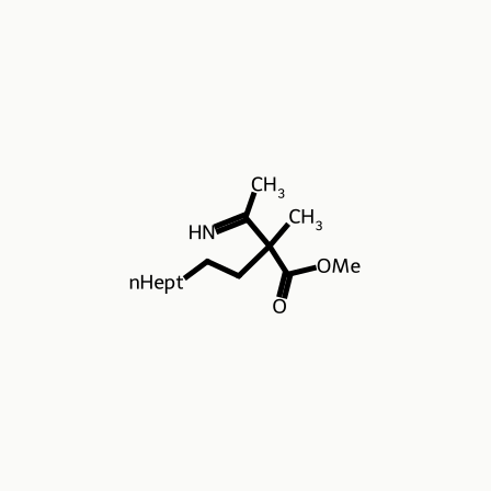 CCCCCCCCCC(C)(C(C)=N)C(=O)OC